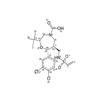 C=CS(=O)(=O)NC[C@@H]1CN(C(=O)O)CC(C(C)(C)C)O[C@H]1c1ccc(Cl)c(Cl)c1